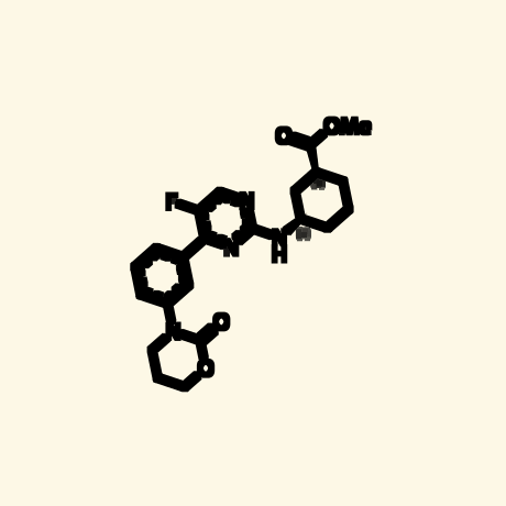 COC(=O)[C@H]1CCC[C@@H](Nc2ncc(F)c(-c3cccc(N4CCCOC4=O)c3)n2)C1